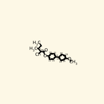 CCC(C)C(Cl)C(=O)Oc1ccc(-c2ccc(OC)cc2)cc1